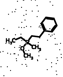 CC[Si](C)(CCc1ccccc1)OC